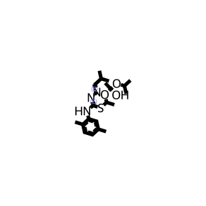 Cc1ccc(C)c(N/C(=N/N=C/C(C)C)SC(C)OC(C)(O)OC(C)C)c1